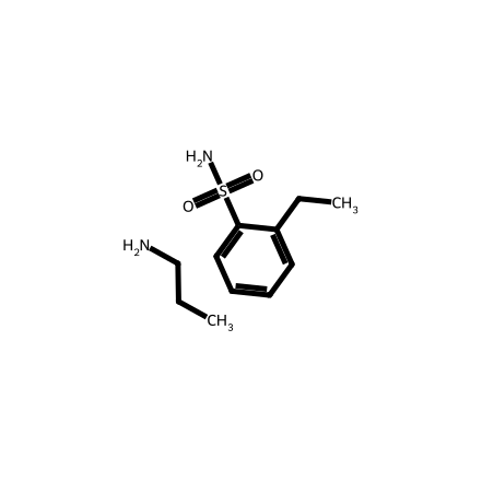 CCCN.CCc1ccccc1S(N)(=O)=O